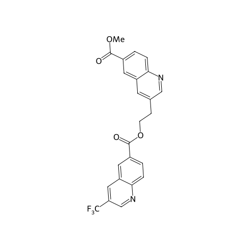 COC(=O)c1ccc2ncc(CCOC(=O)c3ccc4ncc(C(F)(F)F)cc4c3)cc2c1